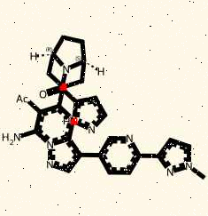 CC(=O)c1c(C2C[C@H]3CC[C@@H](C2)N3C(=O)c2ccn[nH]2)nc2c(-c3ccc(-c4ccn(C)n4)nc3)cnn2c1N